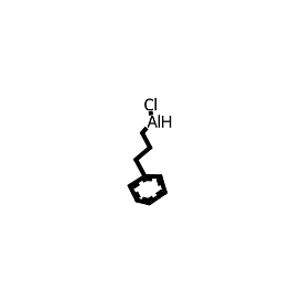 [Cl][AlH][CH2]CCc1ccccc1